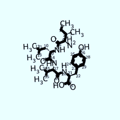 CC[C@H](C)[C@H](N)C(=O)N[C@@H](CC(C)C)C(=O)N[C@H](C(=O)N[C@@H](Cc1ccc(O)cc1)C(=O)O)C(C)C